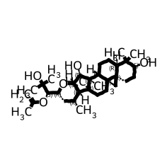 C=C(C)O[C@@H]([C@H]1C[C@@H](C)[C@H]2[C@H](O1)[C@H](O)[C@@]1(C)[C@@H]3CC[C@H]4C(C)(C)[C@@H](O)CC[C@@]45C[C@@]35CC[C@]21C)C(C)(C)O